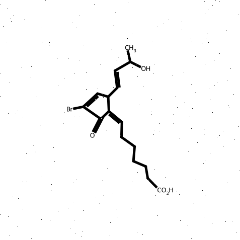 CC(O)/C=C/C1C=C(Br)C(=O)/C1=C\CCCCCC(=O)O